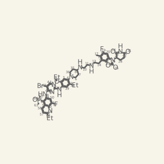 CCOc1cc(N2CCC(NCCNCCc3c(C)c(F)cc4c3oc(=O)n4C3CCC(=O)NC3=O)CC2)c(CC)cc1Nc1ncc(Br)c(Nc2cc(F)c3nc(CC)ccc3c2P(C)(C)=O)n1